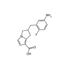 Nc1ccc(F)c(CC2Cc3c(C(=O)O)ccn3C2)c1